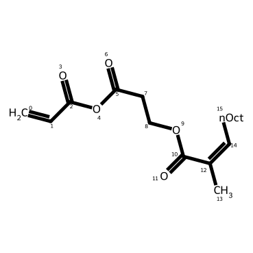 C=CC(=O)OC(=O)CCOC(=O)C(C)=CCCCCCCCC